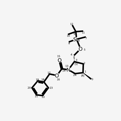 C[C@@H]1C[C@@H](CO[Si](C)(C)C(C)(C)C)N(C(=O)OCc2ccccc2)C1